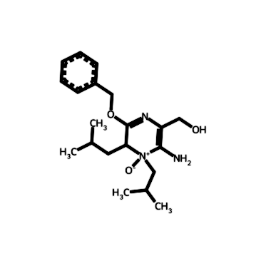 CC(C)CC1C(OCc2ccccc2)=NC(CO)=C(N)[N+]1([O-])CC(C)C